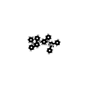 c1ccc(-c2cc(-n3c4ccccc4c4cc(-n5c6ccccc6c6c5ccc5c7ccccc7n(-c7ccccc7)c56)ccc43)nc(-c3ccccc3)n2)cc1